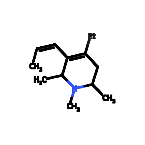 C/C=C\C1=C(CC)CC(C)N(C)C1C